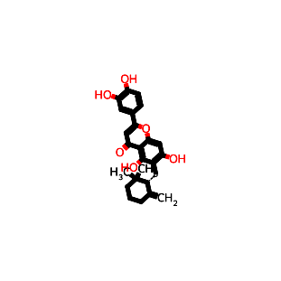 C=C1CCCC(C)(C)[C@@H]1Cc1c(O)cc2oc(-c3ccc(O)c(O)c3)cc(=O)c2c1O